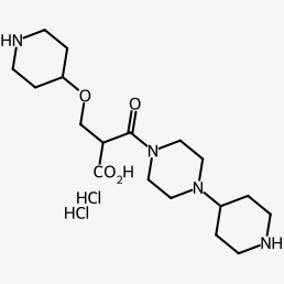 Cl.Cl.O=C(O)C(COC1CCNCC1)C(=O)N1CCN(C2CCNCC2)CC1